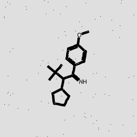 COc1ccc(C(=N)C(C2CCCC2)C(C)(C)C)cc1